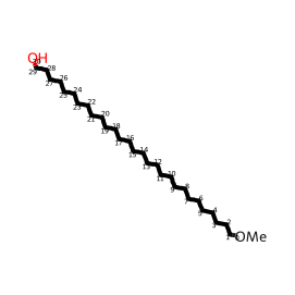 COCCCCCCCCCCCCCCCCCCCCCCCCCCCCCO